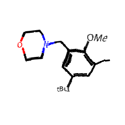 COc1c(C)cc(C(C)(C)C)cc1CN1CCOCC1